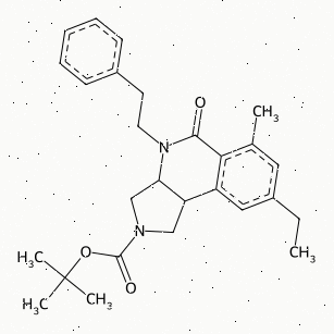 CCc1cc(C)c2c(c1)C1CN(C(=O)OC(C)(C)C)CC1N(CCc1ccccc1)C2=O